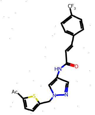 CC(=O)c1ccc(Cn2cc(NC(=O)/C=C/c3ccc(C(F)(F)F)cc3)cn2)s1